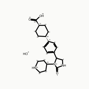 Cl.O=C1NCC(c2ccc([C@H]3CC[C@H](C(=O)O)CC3)cc2)N1C1CCNCC1